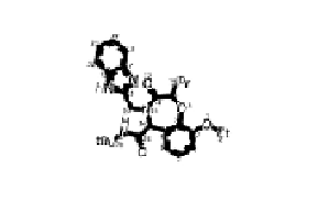 CCOc1cccc2c1OC(C(C)C)C(=O)N(Cc1nc3ccccc3[nH]1)C2C(=O)NC(C)(C)C